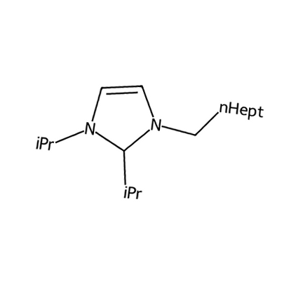 CCCCCCCCN1C=CN(C(C)C)C1C(C)C